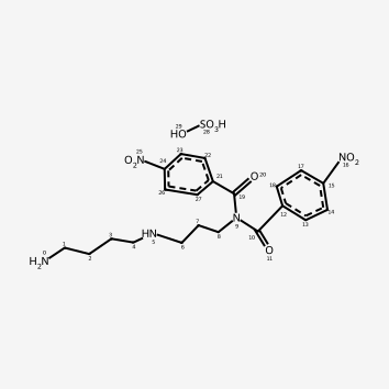 NCCCCNCCCN(C(=O)c1ccc([N+](=O)[O-])cc1)C(=O)c1ccc([N+](=O)[O-])cc1.O=S(=O)(O)O